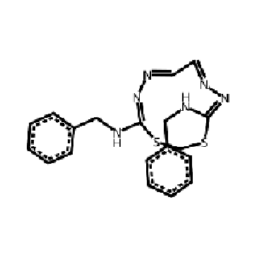 C1=N/N=C(/NCc2ccccc2)SCS/C(NCc2ccccc2)=N/N=C/1